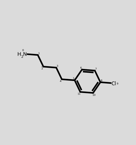 NC[CH]CCc1ccc(Cl)cc1